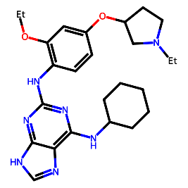 CCOc1cc(OC2CCN(CC)C2)ccc1Nc1nc(NC2CCCCC2)c2nc[nH]c2n1